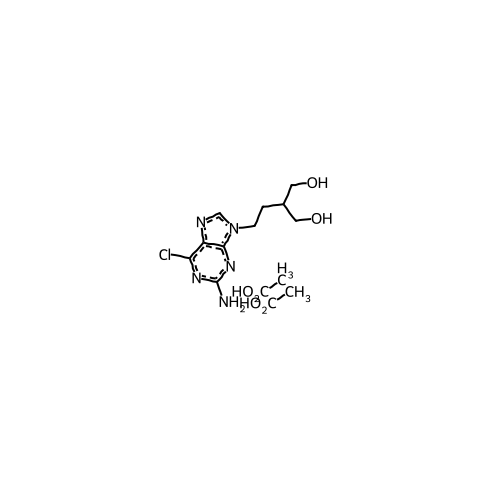 CC(=O)O.CC(=O)O.Nc1nc(Cl)c2ncn(CCC(CO)CO)c2n1